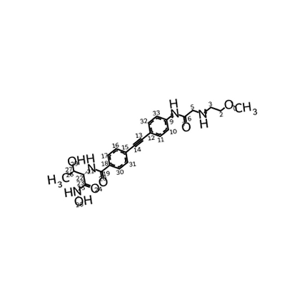 COCCNCC(=O)Nc1ccc(C#Cc2ccc(C(=O)N[C@H](C(=O)NO)[C@@H](C)O)cc2)cc1